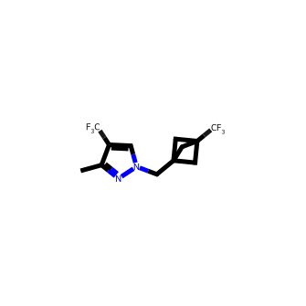 Cc1nn(CC23CC(C(F)(F)F)(C2)C3)cc1C(F)(F)F